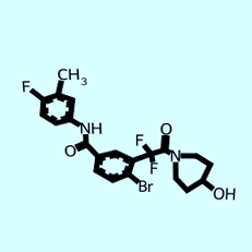 Cc1cc(NC(=O)c2ccc(Br)c(C(F)(F)C(=O)N3CCC(O)CC3)c2)ccc1F